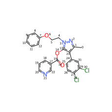 Cc1nn(CCOc2ccccc2)c(OC(=O)c2cccnc2)c1-c1ccc(Cl)c(Cl)c1